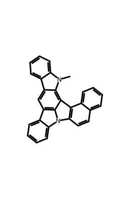 Cn1c2ccccc2c2cc3c4ccccc4n4c5ccc6ccccc6c5c(c21)c34